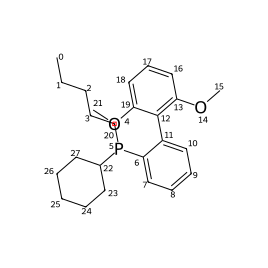 CCCCCP(c1ccccc1-c1c(OC)cccc1OC)C1CCCCC1